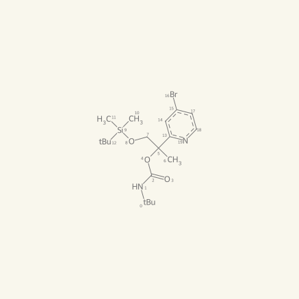 CC(C)(C)NC(=O)OC(C)(CO[Si](C)(C)C(C)(C)C)c1cc(Br)ccn1